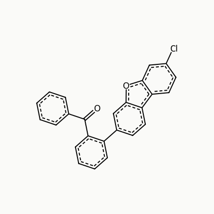 O=C(c1ccccc1)c1ccccc1-c1ccc2c(c1)oc1cc(Cl)ccc12